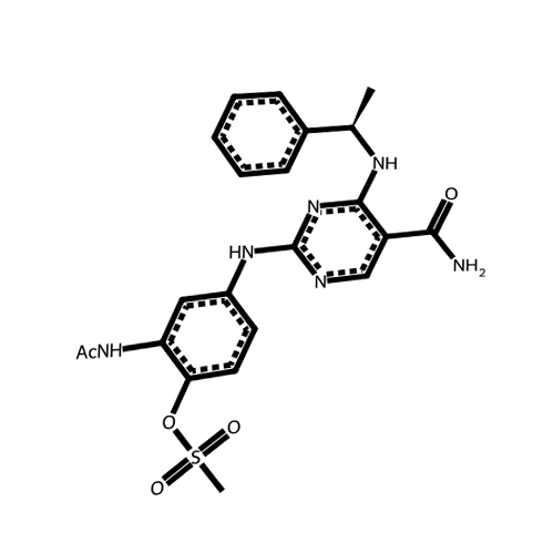 CC(=O)Nc1cc(Nc2ncc(C(N)=O)c(N[C@H](C)c3ccccc3)n2)ccc1OS(C)(=O)=O